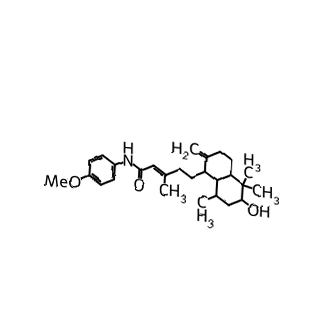 C=C1CCC2C(C(C)CC(O)C2(C)C)C1CC/C(C)=C/C(=O)Nc1ccc(OC)cc1